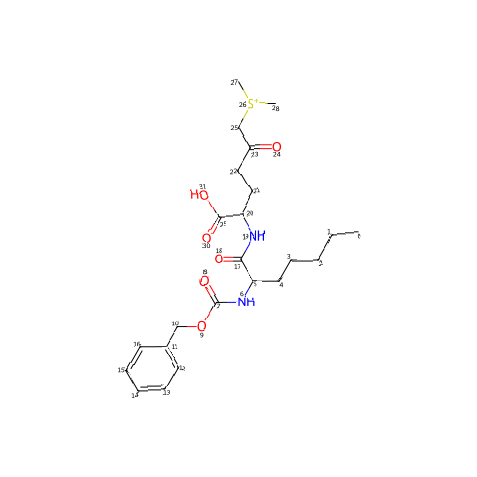 CCCCCC(NC(=O)OCc1ccccc1)C(=O)NC(CCC(=O)C[S+](C)C)C(=O)O